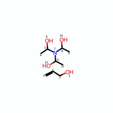 C=CCO.CC(O)N(C(C)O)C(C)O